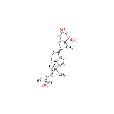 C=C1/C(=C\C=C2/CCCC3(C)C(C(C)/C=C/CC(O)(CC)CC)=CCC23)CC(O)CC1O